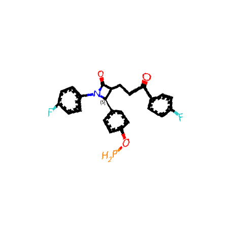 O=C(CCC1C(=O)N(c2ccc(F)cc2)[C@@H]1c1ccc(OP)cc1)c1ccc(F)cc1